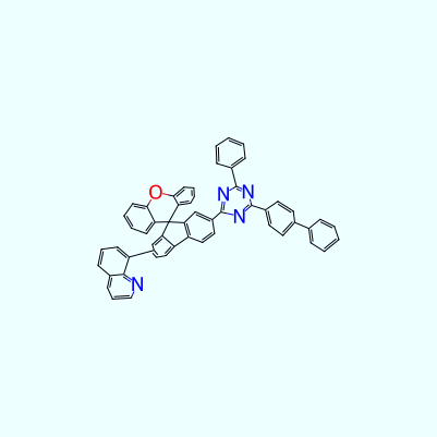 c1ccc(-c2ccc(-c3nc(-c4ccccc4)nc(-c4ccc5c(c4)C4(c6ccccc6Oc6ccccc64)c4cc(-c6cccc7cccnc67)ccc4-5)n3)cc2)cc1